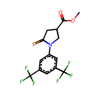 COC(=O)C1CC(=S)N(c2cc(C(F)(F)F)cc(C(F)(F)F)c2)C1